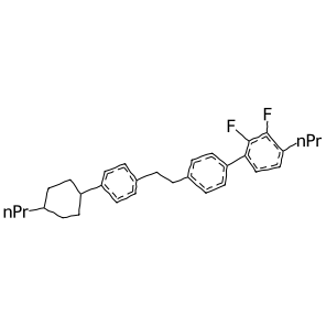 CCCc1ccc(-c2ccc(CCc3ccc(C4CCC(CCC)CC4)cc3)cc2)c(F)c1F